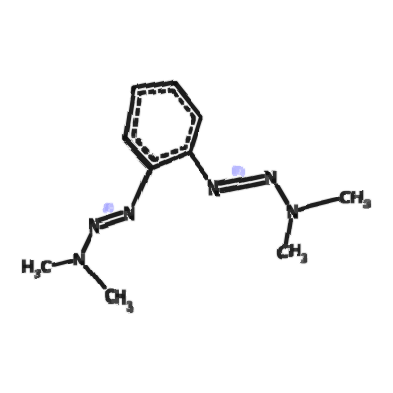 CN(C)/N=N/c1ccccc1/N=N/N(C)C